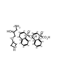 NCC(O)COC1CNC1.O=C(O)[N+]1([O-])C=CCc2ccccc21.O=C(O)[N+]1([O-])C=CCc2ccccc21